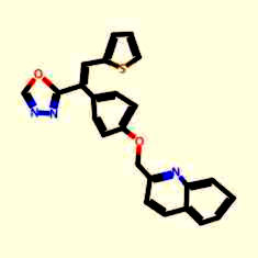 C(=C(/c1ccc(OCc2ccc3ccccc3n2)cc1)c1nnco1)/c1cccs1